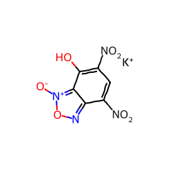 O=[N+]([O-])c1cc([N+](=O)[O-])c2no[n+]([O-])c2c1O.[K+]